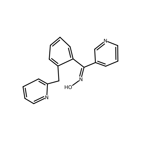 ON=C(c1cccnc1)c1ccccc1Cc1ccccn1